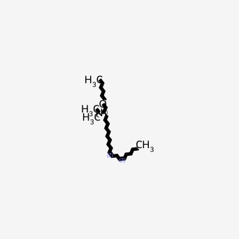 CCCCC/C=C\C/C=C\CCCCCCCCC[C@H](COCCCCCC)N(C)C